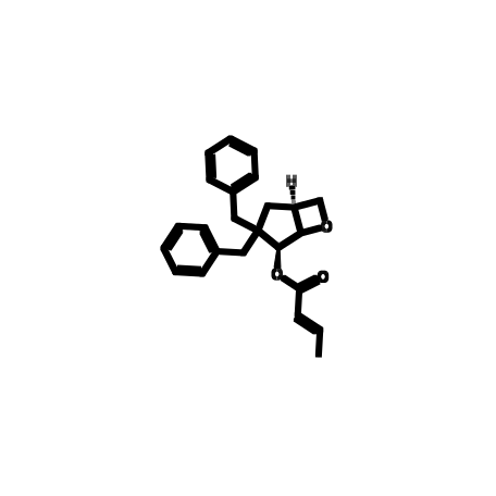 C/C=C/C(=O)O[C@@H]1C2OC[C@@H]2CC1(Cc1ccccc1)Cc1ccccc1